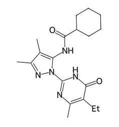 CCc1c(C)nc(-n2nc(C)c(C)c2NC(=O)C2CCCCC2)[nH]c1=O